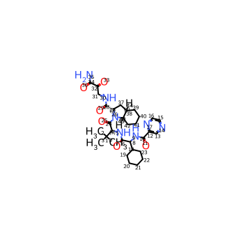 CC(C)(C)[C@H](NC(=O)C(NC(=O)c1cnccn1)C1CCCCC1)C(=O)N1[C@H](C(=O)NCC(=O)C(N)=O)C[C@@H]2CCCC[C@@H]21